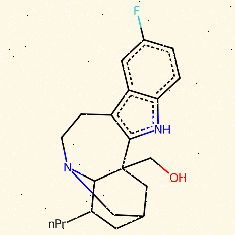 CCCC1CC2CN3CCc4c([nH]c5ccc(F)cc45)C(CO)(C2)C13